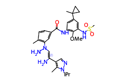 COc1c(NC(=O)c2ccc(C)c(N(N)/C=C(\N)c3cnn(C(C)C)c3C)c2)cc(C2(C)CC2)cc1NS(C)(=O)=O